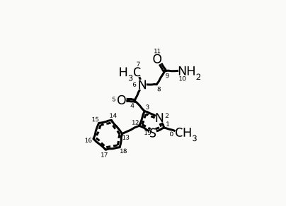 Cc1nc(C(=O)N(C)CC(N)=O)c(-c2ccccc2)s1